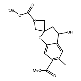 COC(=O)c1cc2c(cc1C)C(O)CC1(CN(C(=O)OC(C)(C)C)C1)O2